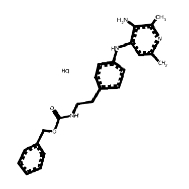 Cc1cc(Nc2ccc(CCNC(=O)OCc3ccccc3)cc2)c(N)c(C)n1.Cl